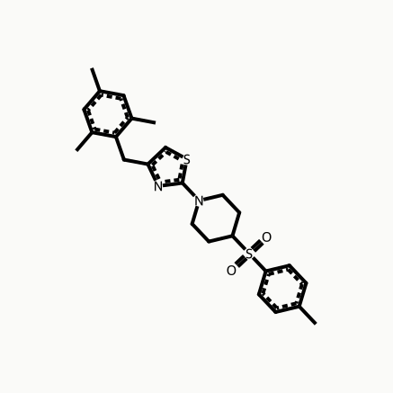 Cc1ccc(S(=O)(=O)C2CCN(c3nc(Cc4c(C)cc(C)cc4C)cs3)CC2)cc1